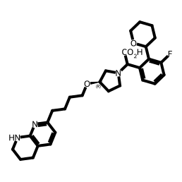 O=C(O)C(c1cccc(F)c1C1CCCCO1)N1CC[C@@H](OCCCCc2ccc3c(n2)NCCC3)C1